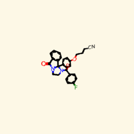 N#CCCCOc1ccc(C23c4ccccc4C(=O)N2CCN3C(=O)c2ccc(F)cc2)cc1